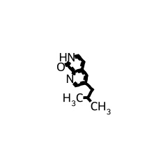 CC(C)Cc1cnc2c(=O)[nH]ccc2c1